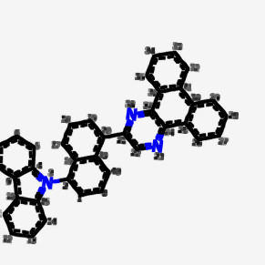 c1cc(-n2c3ccccc3c3ccccc32)c2cccc(-c3cnc4c5ccccc5c5ccccc5c4n3)c2c1